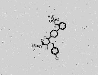 CC(C)(C)OC(=O)N[C@H](Cc1ccc(Cl)cc1)C(=O)N1CCC(c2ccccc2NS(C)(=O)=O)CC1